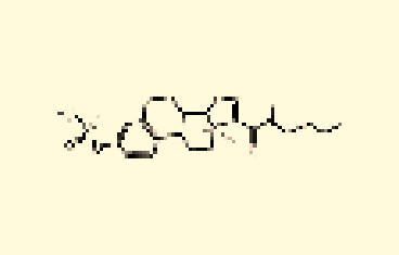 CCCCNC(=O)C1=CCC2C3CCc4cc(OS(N)(=O)=O)ccc4C3CC[C@]12C